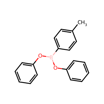 Cc1ccc(B(Oc2ccccc2)Oc2ccccc2)cc1